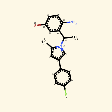 [CH2]c1cc(-c2ccc(F)cc2)cn1C(C)c1cc(Br)ccc1N